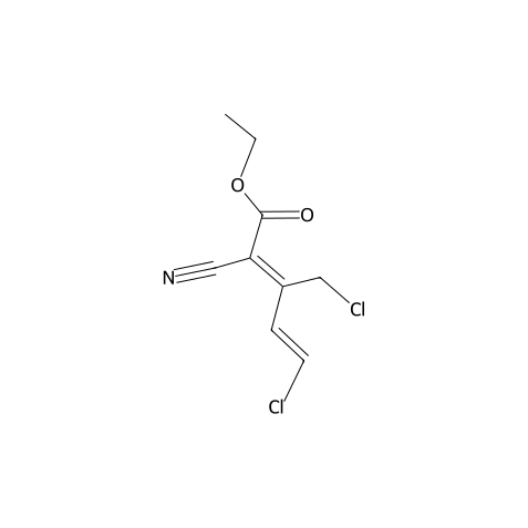 CCOC(=O)C(C#N)=C(C=CCl)CCl